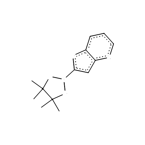 CC1(C)OB(c2cc3ncccc3o2)OC1(C)C